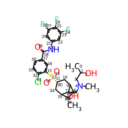 CC(O)CN(C)C[C@@]1(O)C2C[C@@H](S(=O)(=O)c3cc(C(=O)Nc4cc(F)c(F)c(F)c4)ccc3Cl)CC1[C@@H](C)C2